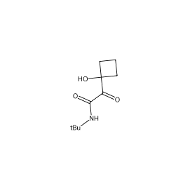 CC(C)(C)NC(=O)C(=O)C1(O)CCC1